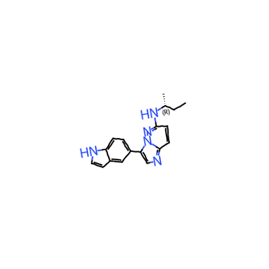 CC[C@@H](C)Nc1ccc2ncc(-c3ccc4[nH]ccc4c3)n2n1